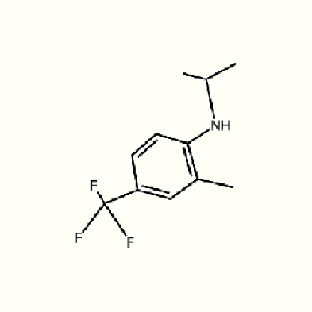 Cc1cc(C(F)(F)F)ccc1NC(C)C